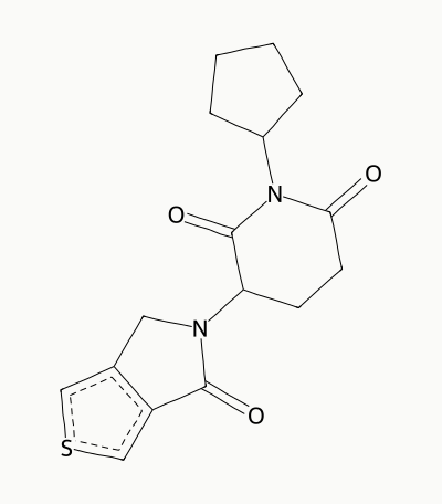 O=C1c2cscc2CN1C1CCC(=O)N(C2CCCC2)C1=O